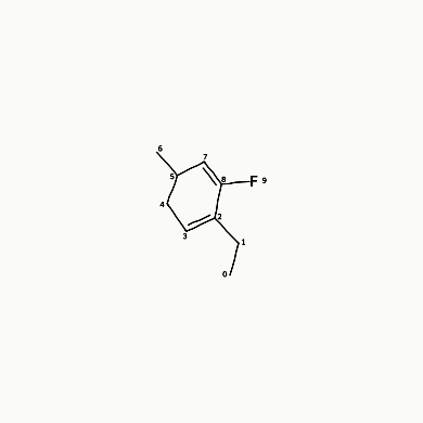 CCC1=CCC(C)C=C1F